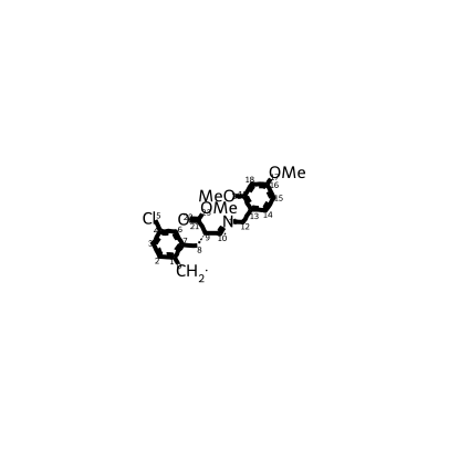 [CH2]c1ccc(Cl)cc1C[C@@H]([C]=NCc1ccc(OC)cc1OC)C(=O)OC